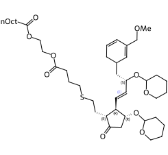 CCCCCCCCC(=O)OCCOC(=O)CCCSCC[C@H]1C(=O)C[C@@H](OC2CCCCO2)[C@@H]1/C=C/[C@H](CC1C=C(COC)C=CC1)OC1CCCCO1